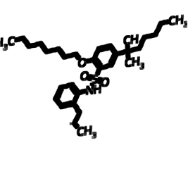 C[CH]Cc1ccccc1NS(=O)(=O)c1cc(C(C)(C)CCCCC)ccc1OCCCCCCCC